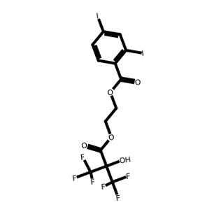 O=C(OCCOC(=O)C(O)(C(F)(F)F)C(F)(F)F)c1ccc(I)cc1I